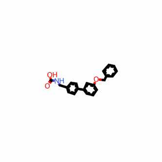 O=C(O)NCc1ccc(-c2cccc(OCc3ccccc3)c2)cc1